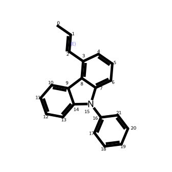 C/C=C/c1cccc2c1c1ccccc1n2-c1ccccc1